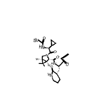 C=CC(=O)[C@H](C[C@@H]1CCCNC1=O)NC(=O)[C@@H]1[C@@H]2[C@H](CN1C(=O)[C@@H](NC(=O)C(C)(C)C)C1CC1)C2(C)C